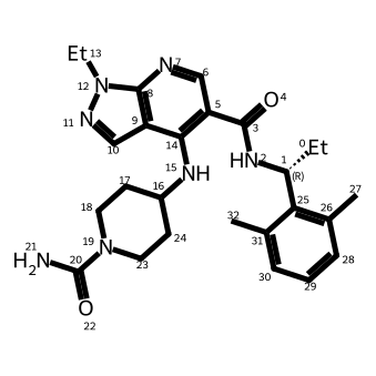 CC[C@@H](NC(=O)c1cnc2c(cnn2CC)c1NC1CCN(C(N)=O)CC1)c1c(C)cccc1C